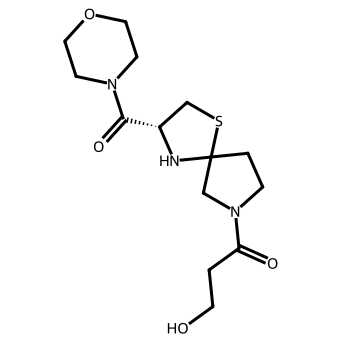 O=C(CCO)N1CCC2(C1)N[C@H](C(=O)N1CCOCC1)CS2